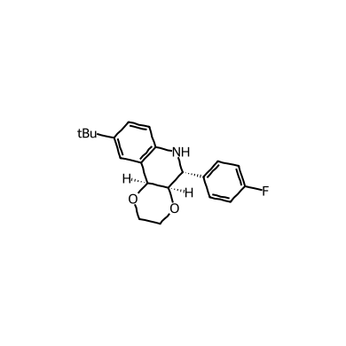 CC(C)(C)c1ccc2c(c1)[C@@H]1OCCO[C@@H]1[C@@H](c1ccc(F)cc1)N2